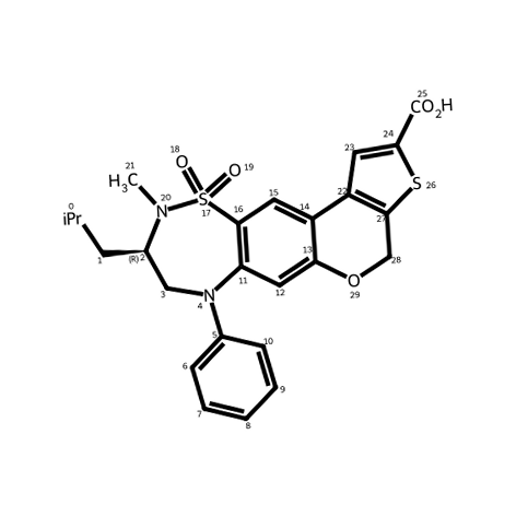 CC(C)C[C@@H]1CN(c2ccccc2)c2cc3c(cc2S(=O)(=O)N1C)-c1cc(C(=O)O)sc1CO3